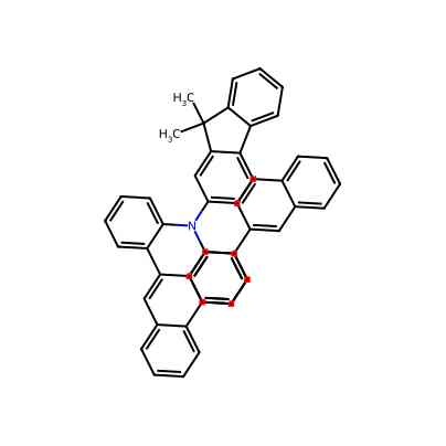 CC1(C)c2ccccc2-c2ccc(N(c3ccccc3-c3ccc4ccccc4c3)c3ccccc3-c3cc4ccccc4c4ccccc34)cc21